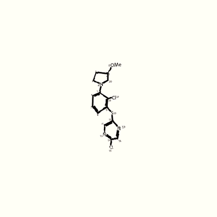 CO[C@@H]1CCN(c2cccc(Sc3cnc(Cl)cn3)c2Cl)C1